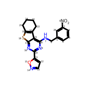 O=[N+]([O-])c1cccc(CNc2nc(-c3ccno3)nc3sc4c(c23)CCCC4)c1